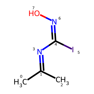 CC(C)=N/C(I)=N\O